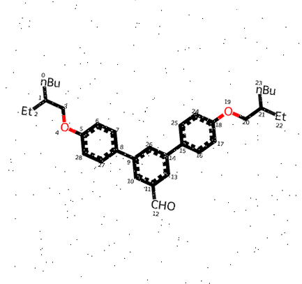 CCCCC(CC)COc1ccc(-c2cc(C=O)cc(-c3ccc(OCC(CC)CCCC)cc3)c2)cc1